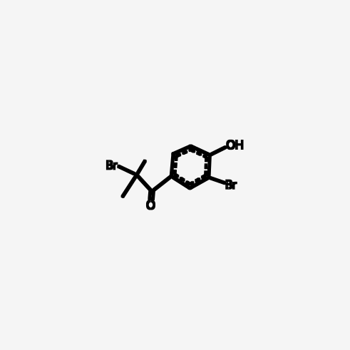 CC(C)(Br)C(=O)c1ccc(O)c(Br)c1